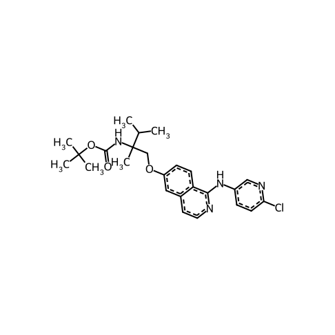 CC(C)C(C)(COc1ccc2c(Nc3ccc(Cl)nc3)nccc2c1)NC(=O)OC(C)(C)C